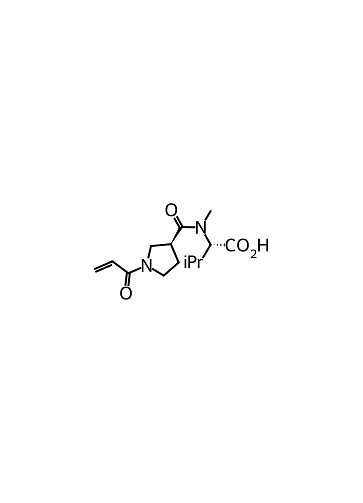 C=CC(=O)N1CC[C@H](C(=O)N(C)[C@H](C(=O)O)C(C)C)C1